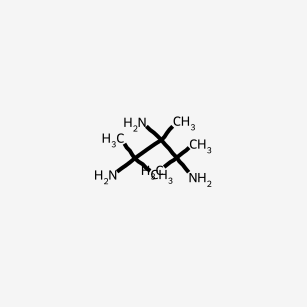 CC(C)(N)C(C)(N)C(C)(C)N